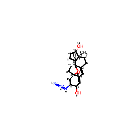 C[C@]12CCC3=CC4=CC(O)[C@@H](N=[N+]=[N-])C[C@]45CC[C@]3(O5)[C@@H]1CC[C@@H]2O